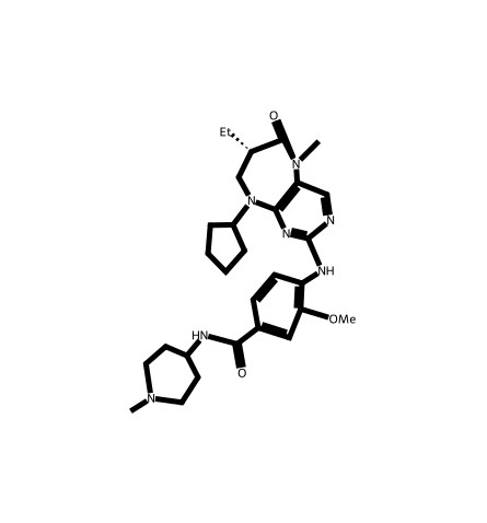 CC[C@H]1CN(C2CCCC2)c2nc(Nc3ccc(C(=O)NC4CCN(C)CC4)cc3OC)ncc2N(C)C1=O